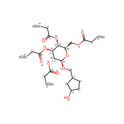 CCCCCCCCCCCC(=O)OC[C@H]1O[C@@H](OCC2CCC(O)C2)[C@H](OC(=O)CCCCCCCCCCC)[C@@H](OC(=O)CCCCCCCCCCC)[C@H]1OC(=O)CCCCCCCCCCC